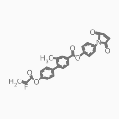 C=C(F)C(=O)Oc1ccc(-c2ccc(C(=O)Oc3ccc(N4C(=O)C=CC4=O)cc3)cc2C)cc1